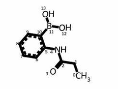 CCC(=O)Nc1ccccc1B(O)O